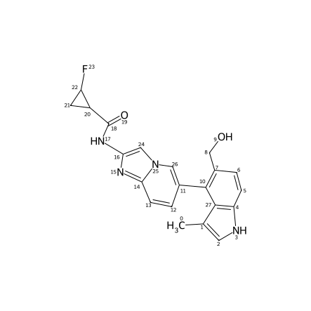 Cc1c[nH]c2ccc(CO)c(-c3ccc4nc(NC(=O)C5CC5F)cn4c3)c12